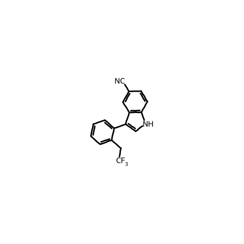 N#Cc1ccc2[nH]cc(-c3ccccc3CC(F)(F)F)c2c1